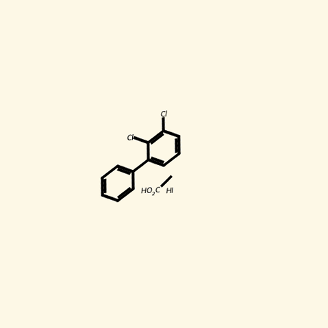 CC(=O)O.Clc1cccc(-c2ccccc2)c1Cl.I